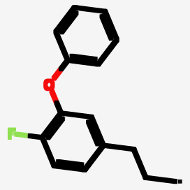 [CH2]CCc1ccc(F)c(Oc2ccccc2)c1